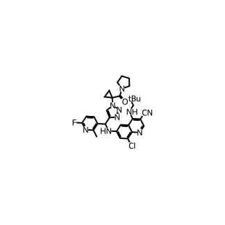 Cc1nc(F)ccc1C(Nc1cc(Cl)c2ncc(C#N)c(NCC(C)(C)C)c2c1)c1cn(C2(C(=O)N3CCCC3)CC2)nn1